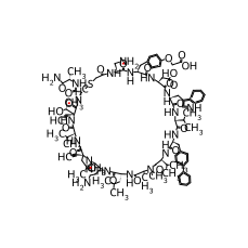 C#C[C@]1(CC(C)C)NC(=O)[C@H](CCN)NC(=O)[C@@H](CC(C)C)NC(=O)[C@H](C)N(C)C(=O)[C@H](C(C)C)NC(=O)[C@H](Cc2ccc(-c3ccccc3)cc2)NC(=O)[C@H](C(C)C)NC(=O)[C@H](Cc2c[nH]c3ccccc23)NC(=O)[C@H](CC(=O)O)NC(=O)[C@H](Cc2ccc(OCC(=O)O)cc2)NC(=O)[C@H](CN)NC(=O)CSC[C@@H](C(=O)N[C@@H](C)C(N)=O)NC(=O)[C@@](C#C)([C@@H](C)O)NC(=O)[C@H](C(C)C)NC1=O